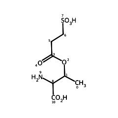 CC(OC(=O)CCS(=O)(=O)O)C(N)C(=O)O